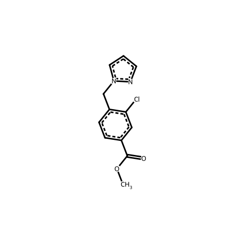 COC(=O)c1ccc(Cn2cccn2)c(Cl)c1